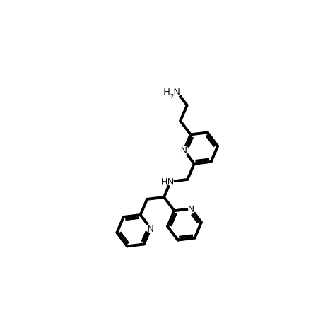 NCCc1cccc(CNC(Cc2ccccn2)c2ccccn2)n1